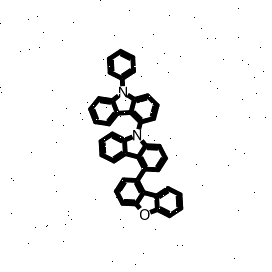 c1ccc(-n2c3ccccc3c3c(-n4c5ccccc5c5c(-c6cccc7oc8ccccc8c67)cccc54)cccc32)cc1